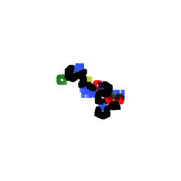 O=C(NC(CCN1CCCCC1)c1cc(NS(=O)(=O)C2CC2)ccn1)c1ncc(-c2cnn3ccc(Cl)cc23)s1